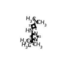 CN(C)[C@H]1C[C@H](Nc2cc(C(C)(C)C)ncn2)C1